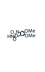 COc1cc(COC([NH])=O)c([N+](=O)[O-])cc1OC